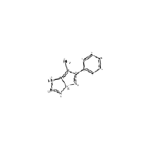 Nc1c(-c2ccccc2)nn2nn[nH]c12